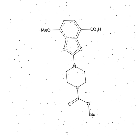 COc1ccc(C(=O)O)c2sc(N3CCN(C(=O)OC(C)(C)C)CC3)nc12